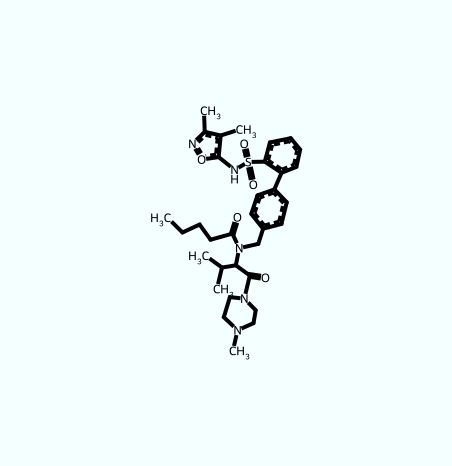 CCCCC(=O)N(Cc1ccc(-c2ccccc2S(=O)(=O)Nc2onc(C)c2C)cc1)C(C(=O)N1CCN(C)CC1)C(C)C